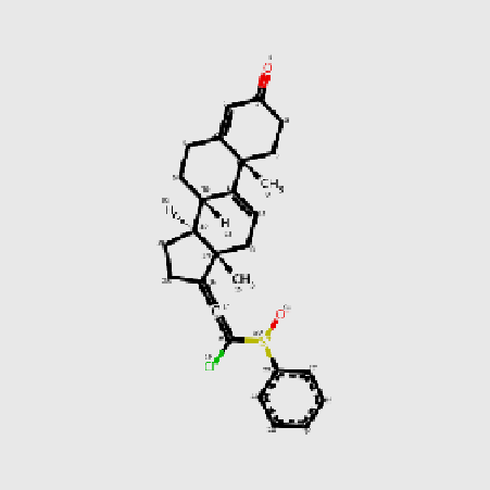 C[C@]12CCC(=O)C=C1CC[C@@H]1C2=CC[C@]2(C)C(=C=C(Cl)[S+]([O-])c3ccccc3)CC[C@@H]12